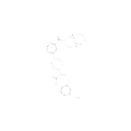 COc1ccc2c(c1)CCN(C1CCN(c3cc(C(=O)N4CC[C@H]5CCCC[C@H]5C4)ncn3)CC1)C(=O)N2